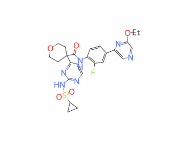 CCOc1cncc(-c2ccc(NC(=O)C3(c4ccnc(NS(=O)(=O)C5CC5)n4)CCOCC3)c(F)c2)n1